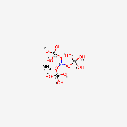 O[Si](O)(O)ON(O[Si](O)(O)O)O[Si](O)(O)O.[AlH3]